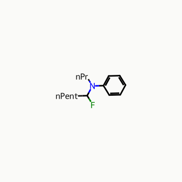 CCCCCC(F)N(CCC)c1ccccc1